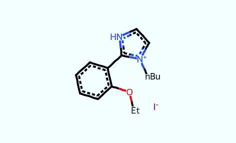 CCCC[n+]1cc[nH]c1-c1ccccc1OCC.[I-]